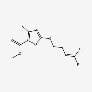 COC(=O)c1oc(SCCC=C(F)F)nc1C